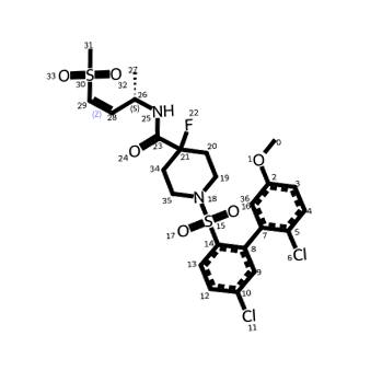 COc1ccc(Cl)c(-c2cc(Cl)ccc2S(=O)(=O)N2CCC(F)(C(=O)N[C@@H](C)/C=C\S(C)(=O)=O)CC2)c1